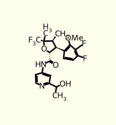 COc1c([C@H]2[C@H](C(=O)Nc3ccnc(C(C)O)c3)O[C@@](C)(C(F)(F)F)[C@H]2C)ccc(F)c1F